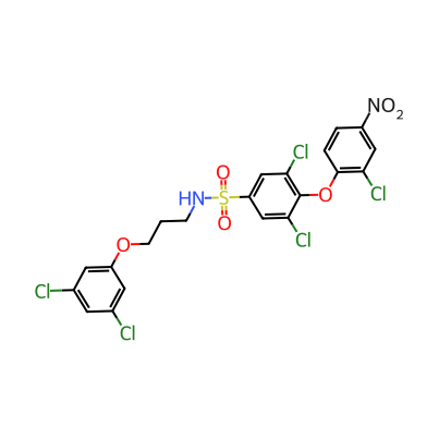 O=[N+]([O-])c1ccc(Oc2c(Cl)cc(S(=O)(=O)NCCCOc3cc(Cl)cc(Cl)c3)cc2Cl)c(Cl)c1